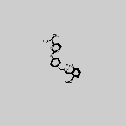 COc1cccc(OC)c1CNC[C@H]1CC[C@@H](Nc2nccc(N(C)C)n2)CC1